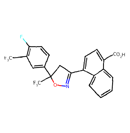 O=C(O)c1ccc(C2=NOC(c3ccc(F)c(C(F)(F)F)c3)(C(F)(F)F)C2)c2ccccc12